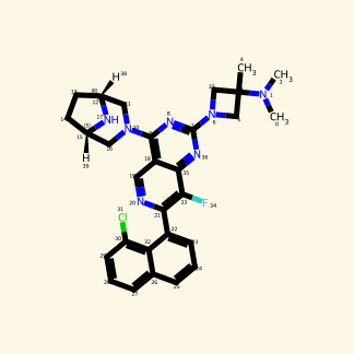 CN(C)C1(C)CN(c2nc(N3C[C@H]4CC[C@@H](C3)N4)c3cnc(-c4cccc5cccc(Cl)c45)c(F)c3n2)C1